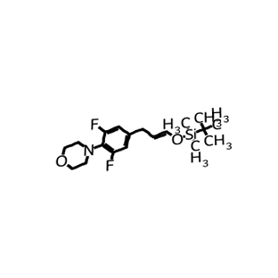 CC(C)(C)[Si](C)(C)O/C=C/Cc1cc(F)c(N2CCOCC2)c(F)c1